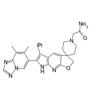 Cc1c(-c2[nH]c3nc4c(cc3c2C(C)C)C2(CCN(CC(N)=O)CC2)CO4)cn2ncnc2c1C